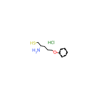 Cl.N[C@H](CS)CCCOc1ccccc1